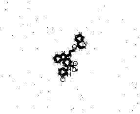 COC(=O)C1(Nc2cccc(Cl)c2)CCC2(CC1)c1ccccc1CC2CCCOc1ccnc2ccccc12